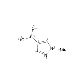 CC(C)(C)n1cc(B(O)O)cn1